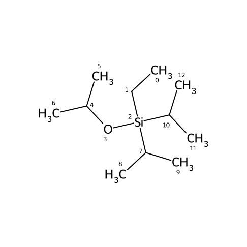 CC[Si](OC(C)C)(C(C)C)C(C)C